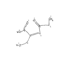 CCC(=O)C=C(CC)C(=O)O